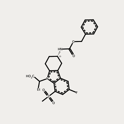 CCC(C(=O)O)n1c2c(c3cc(F)cc(S(C)(=O)=O)c31)C[C@@H](NC(=O)OCc1ccccc1)CC2